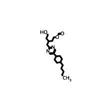 CCCCCC1CCC(c2cnc(CC(CCO)CCOC=O)nc2)CC1